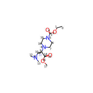 CCOC(=O)N1CCN(/C(=C/N(C)C)C(=O)OC)CC1